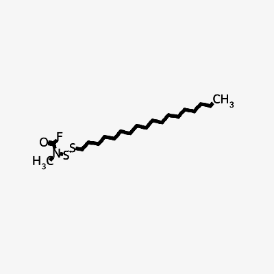 CCCCCCCCCCCCCCCCCCSSN(C)C(=O)F